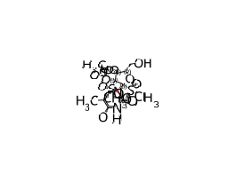 Cc1cn([C@]2(S(C)(=O)=O)O[C@H](CO)[C@@H](O)[C@]2(OS(C)(=O)=O)S(C)(=O)=O)c(=O)[nH]c1=O